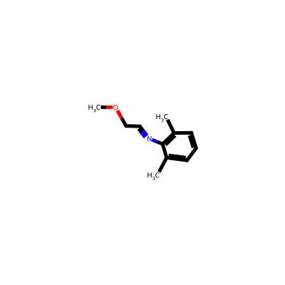 COCC=Nc1c(C)cccc1C